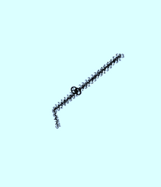 CCCCCCCC/C=C\CCCCCCCCCCCCCC(=O)OCCCCCCCCCCCCCCCCCCCCCCCCCCCC